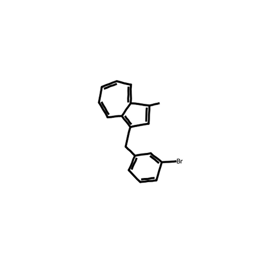 Cc1cc(Cc2cccc(Br)c2)c2cccccc1-2